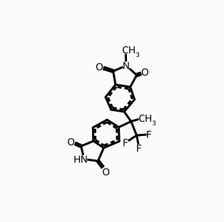 CN1C(=O)c2ccc(C(C)(c3ccc4c(c3)C(=O)NC4=O)C(F)(F)F)cc2C1=O